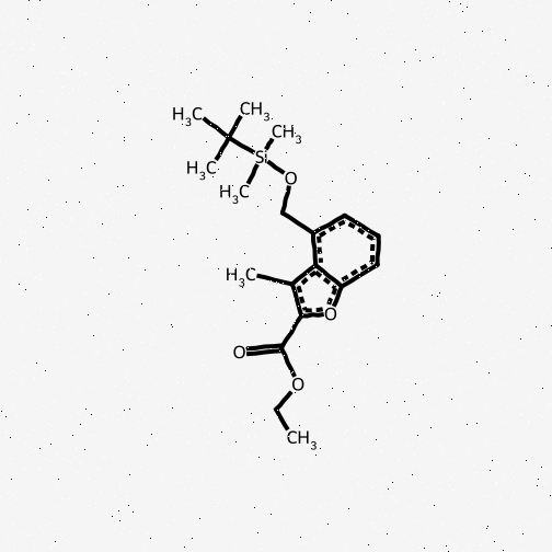 CCOC(=O)c1oc2cccc(CO[Si](C)(C)C(C)(C)C)c2c1C